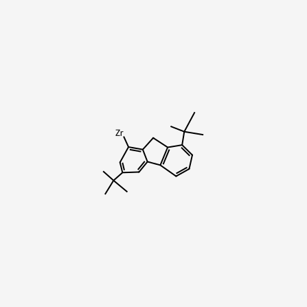 CC(C)(C)c1c[c]([Zr])c2c(c1)-c1cccc(C(C)(C)C)c1C2